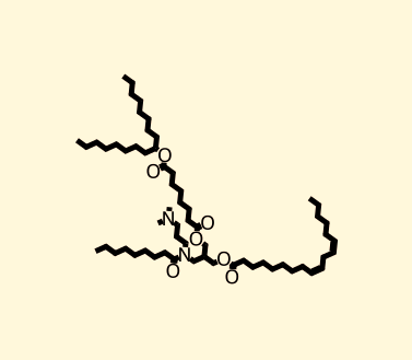 CCCCC/C=C\C/C=C\CCCCCCCC(=O)OCC(COC(=O)CCCCCCC(=O)OC(CCCCCCCC)CCCCCCCC)CN(CCCN(C)C)C(=O)CCCCCCCC